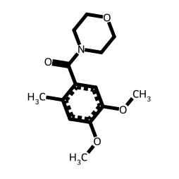 COc1cc(C)c(C(=O)N2CCOCC2)cc1OC